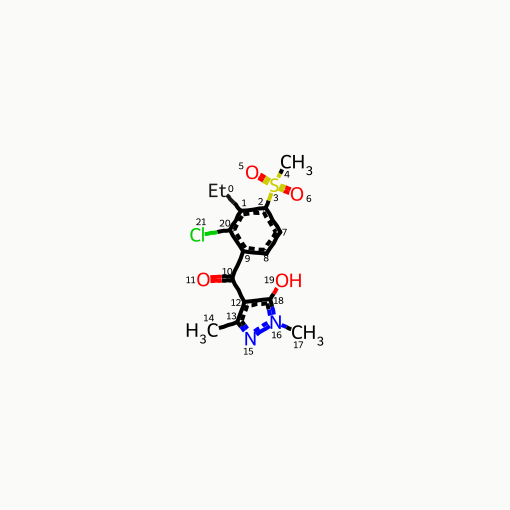 CCc1c(S(C)(=O)=O)ccc(C(=O)c2c(C)nn(C)c2O)c1Cl